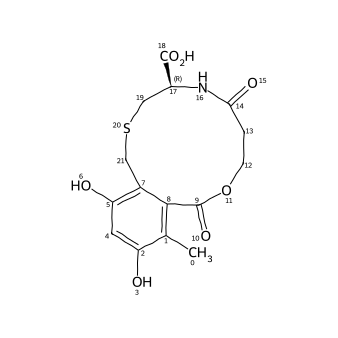 Cc1c(O)cc(O)c2c1C(=O)OCCC(=O)N[C@H](C(=O)O)CSC2